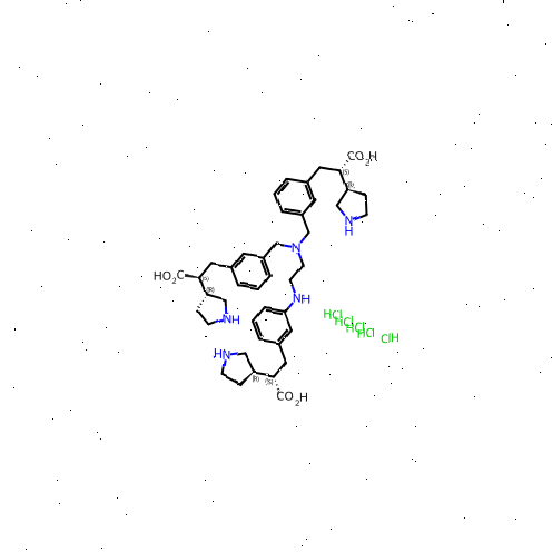 Cl.Cl.Cl.Cl.Cl.O=C(O)[C@@H](Cc1cccc(CN(CCNc2cccc(C[C@H](C(=O)O)[C@H]3CCNC3)c2)Cc2cccc(C[C@H](C(=O)O)[C@H]3CCNC3)c2)c1)[C@H]1CCNC1